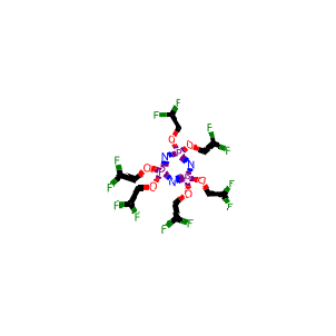 FC(F)COP1(OCC(F)F)=NP(OCC(F)F)(OCC(F)F)=NP(OCC(F)F)(OCC(F)F)=N1